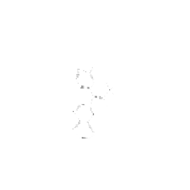 CC1(C)Cc2c(F)cccc2C(c2cnc3ccccc3c2)=[N+]1[O-]